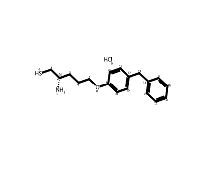 Cl.N[C@H](CS)CCCOc1ccc(Cc2ccccc2)cc1